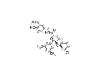 COc1cc(CNC(=O)CCC(Cc2ccc(Cl)cc2)N(C)C(=O)c2cc(C(F)(F)F)cc(C(F)(F)F)c2)ccc1O